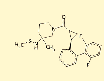 CSNC1(C)CCCN(C(=O)[C@@H]2C[C@H]2c2ccccc2-c2c(F)cccc2F)C1